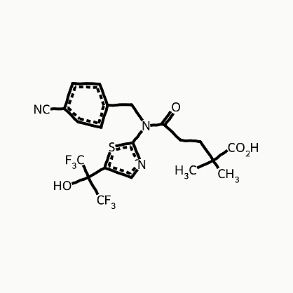 CC(C)(CCC(=O)N(Cc1ccc(C#N)cc1)c1ncc(C(O)(C(F)(F)F)C(F)(F)F)s1)C(=O)O